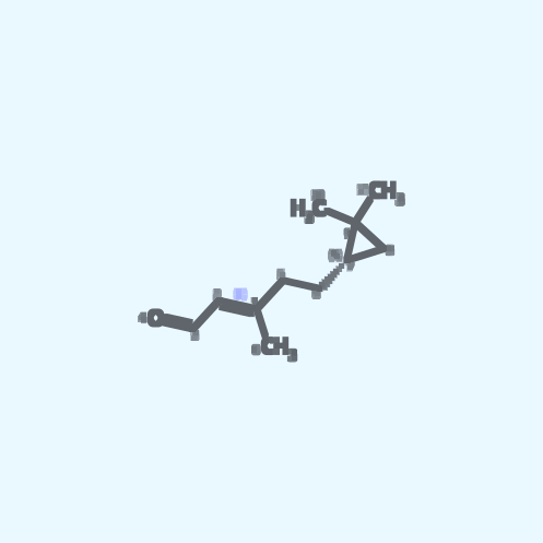 C/C(=C\C=O)CC[C@H]1CC1(C)C